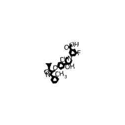 Cc1ccccc1-c1noc(C2CC2)c1COc1ccc(C2(O)CCN(c3cc(F)cc(C(=O)O)c3)CC2)c(Cl)c1